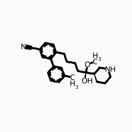 CO[C@@](O)(CCCCc1ccc(C#N)cc1-c1cccc(C)c1)[C@@H]1CCCNC1